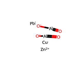 [Cu].[O]=[Al][O-].[O]=[Al][O-].[Pb].[Zn+2]